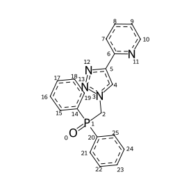 O=P(Cn1cc(-c2ccccn2)nn1)(c1ccccc1)c1ccccc1